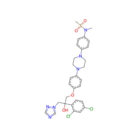 CN(c1ccc(N2CCN(c3ccc(OCC(O)(Cn4cncn4)c4ccc(Cl)cc4Cl)cc3)CC2)cc1)S(C)(=O)=O